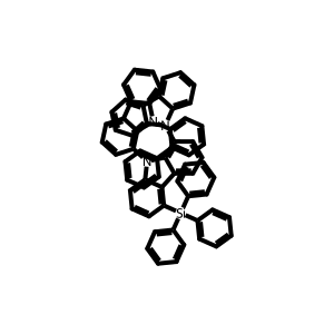 c1ccc(-c2ccccc2-n2c3ccccc3c3cccc(-n4c5cccc([Si](c6ccccc6)(c6ccccc6)c6ccccc6)c5c5cccc(-n6c7ccccc7c7ccccc76)c54)c32)cc1